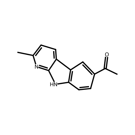 CC(=O)c1ccc2[nH]c3nc(C)ccc3c2c1